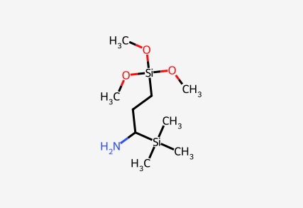 CO[Si](CCC(N)[Si](C)(C)C)(OC)OC